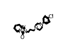 O=c1n(CCCN2CCN(c3ccc(Cl)cc3)CC2)nc2ccccn12